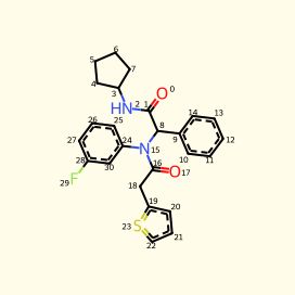 O=C(NC1CCCC1)C(c1ccccc1)N(C(=O)Cc1cccs1)c1cccc(F)c1